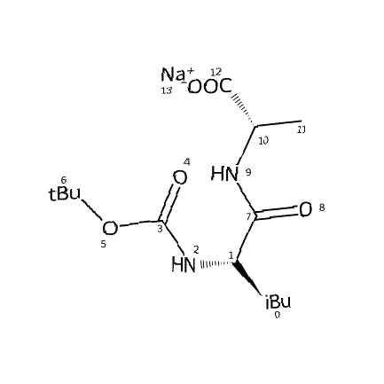 CC[C@H](C)[C@H](NC(=O)OC(C)(C)C)C(=O)N[C@@H](C)C(=O)[O-].[Na+]